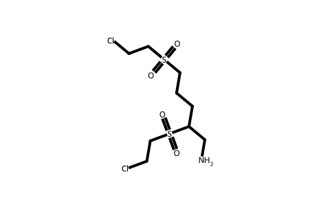 NCC(CCCS(=O)(=O)CCCl)S(=O)(=O)CCCl